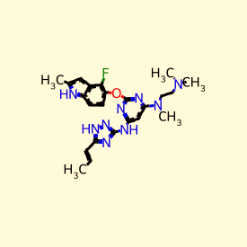 C/C=C/c1nc(Nc2cc(N(C)CCN(C)C)nc(Oc3ccc4[nH]c(C)cc4c3F)n2)n[nH]1